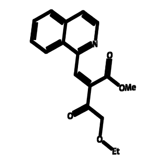 CCOCC(=O)C(=Cc1nccc2ccccc12)C(=O)OC